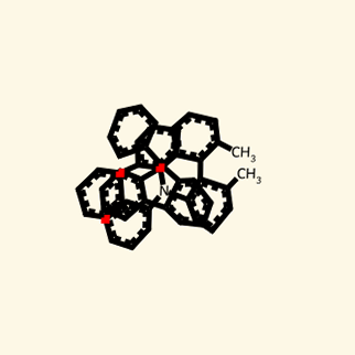 Cc1cccc(N(c2ccccc2)c2ccccc2-c2ccccc2)c1-c1c(C)cccc1C1(c2ccccc2)c2ccccc2-c2ccccc21